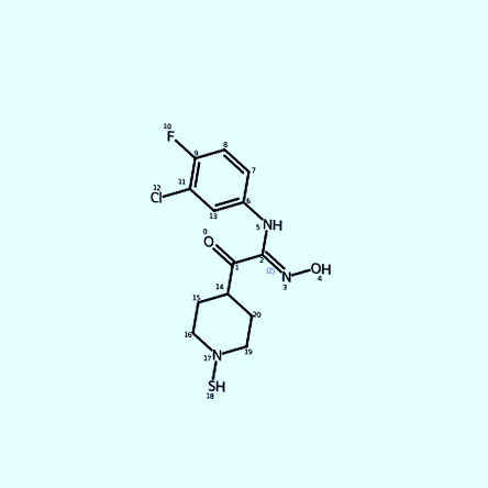 O=C(/C(=N/O)Nc1ccc(F)c(Cl)c1)C1CCN(S)CC1